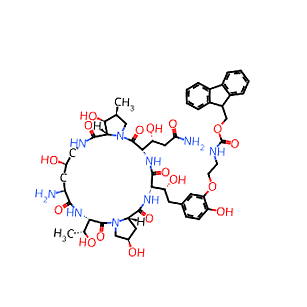 C[C@@H](O)[C@@H]1NC(=O)[C@@H](N)C[C@@H](O)CNC(=O)[C@@H]2[C@@H](O)[C@@H](C)CN2C(=O)[C@H]([C@H](O)CC(N)=O)NC(=O)[C@H]([C@H](O)Cc2ccc(O)c(OCCNC(=O)OCC3c4ccccc4-c4ccccc43)c2)NC(=O)[C@@H]2C[C@@H](O)CN2C1=O